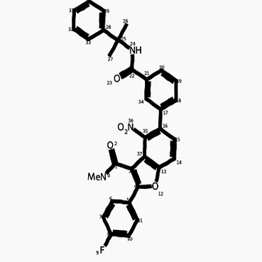 CNC(=O)c1c(-c2ccc(F)cc2)oc2ccc(-c3cccc(C(=O)NC(C)(C)c4ccccc4)c3)c([N+](=O)[O-])c12